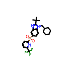 CC(C)(C)c1nc2cc(S(=O)(=O)c3cccc(C(F)(F)F)n3)ccc2n1CC1CCCCC1